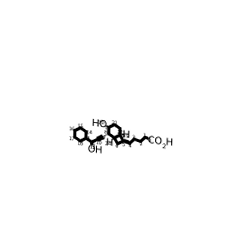 O=C(O)CCC/C=C1/C[C@H]2[C@H](C#CC(O)C3CCCCC3)[C@@H](O)CC[C@@H]12